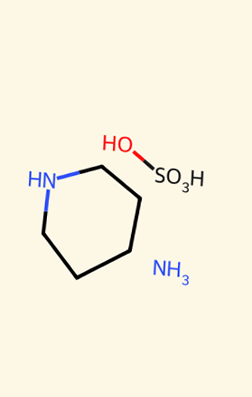 C1CCNCC1.N.O=S(=O)(O)O